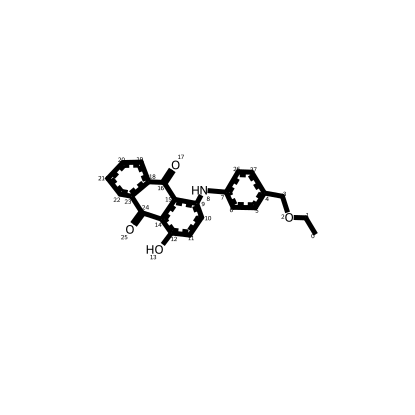 CCOCc1ccc(Nc2ccc(O)c3c2C(=O)c2ccccc2C3=O)cc1